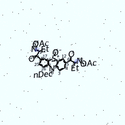 CCCCCCCCCCN1c2ccc(C(=O)/C(CC)=N/OC(C)=O)cc2[S+]([O-])c2cc(C(=O)/C(CC)=N/OC(C)=O)ccc21